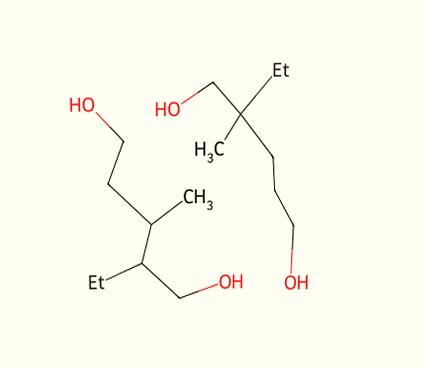 CCC(C)(CO)CCCO.CCC(CO)C(C)CCO